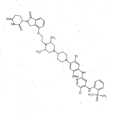 CCc1cc(Nc2ncc(Cl)c(Nc3ccccc3P(C)(C)=O)n2)c(OC)cc1N1CCC(N2CC(C)N(CCOc3cccc4c3CN(C3CCC(=O)NC3=O)C4=O)C(C)C2)CC1